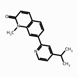 CC(C)c1ccnc(-c2ccc3ccc(=O)n(C)c3c2)c1